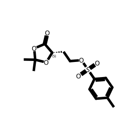 Cc1ccc(S(=O)(=O)OCC[C@@H]2OC(C)(C)OC2=O)cc1